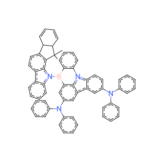 CC1(C)c2c(ccc3c4ccccc4n(B4c5ccccc5-n5c6ccc(N(c7ccccc7)c7ccccc7)cc6c6cc(N(c7ccccc7)c7ccccc7)cc4c65)c23)C2C=CC=CC21